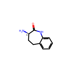 N[C@@H]1CCc2ccccc2NC1=O